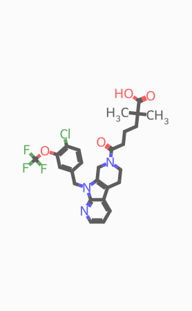 CC(C)(CCCC(=O)N1CCc2c(n(Cc3ccc(Cl)c(OC(F)(F)F)c3)c3ncccc23)C1)C(=O)O